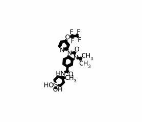 CC(C)n1c(=O)n(-c2cc(OC(F)(F)C(F)F)ccn2)c2ccc(C(=O)NC3(C)CCS(O)(O)CC3)cc21